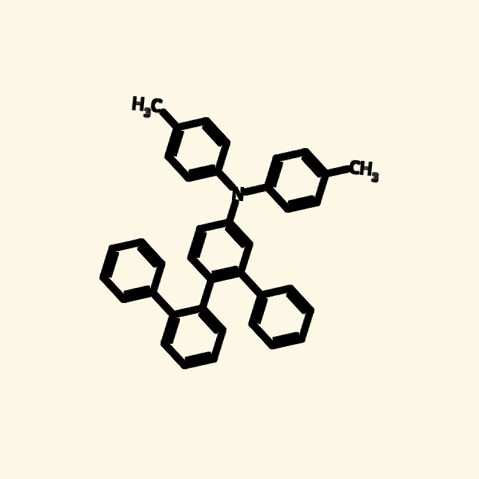 Cc1ccc(N(c2ccc(C)cc2)c2ccc(-c3ccccc3-c3ccccc3)c(-c3ccccc3)c2)cc1